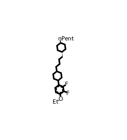 CCCCC[C@H]1CC[C@H](CCCCC2CCC(c3ccc(OCC)c(F)c3F)CC2)CC1